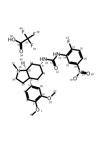 COc1ccc([C@@]23CC[C@@H](NC(=O)Nc4cc([N+](=O)[O-])ccc4F)C[C@@H]2N(C)CC3)cc1OC.O=C(O)C(F)(F)F